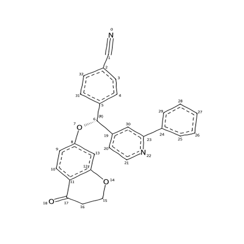 N#Cc1ccc([C@@H](Oc2ccc3c(c2)OCCC3=O)c2ccnc(-c3ccccc3)c2)cc1